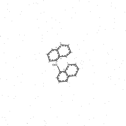 O=Cc1cccc2cccnc12.c1ccc2ncccc2c1